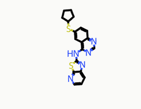 c1cnc2sc(Nc3ncnc4ccc(SC5CCCC5)cc34)nc2c1